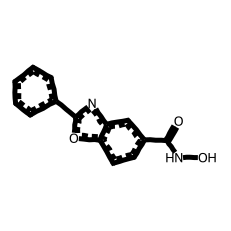 O=C(NO)c1ccc2oc(-c3ccccc3)nc2c1